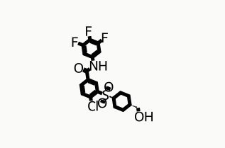 O=C(Nc1cc(F)c(F)c(F)c1)c1ccc(Cl)c(S(=O)(=O)[C@H]2CC[C@@H](CO)CC2)c1